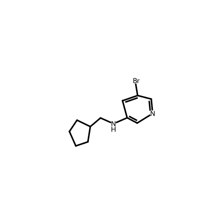 Brc1cncc(NCC2CCCC2)c1